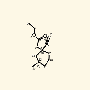 CCOC(=O)C[C@@]1(C#N)CCC[C@@H](C)C1